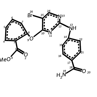 COC(=O)c1ccccc1Oc1nc(Nc2ccc(C(N)=O)cc2)ncc1Br